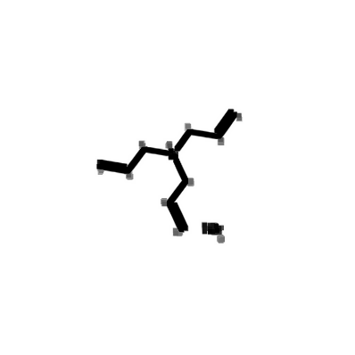 Br.C=CCN(CC=C)CC=C